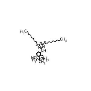 CCCCCCCCSc1nc(Nc2ccc(O)c(C(C)(C)C)c2CC)nc(SCCCCCCCC)n1